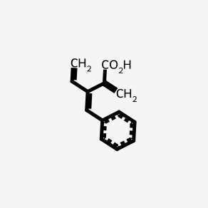 C=CC(=Cc1ccccc1)C(=C)C(=O)O